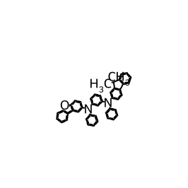 CC1(C)c2ccccc2-c2ccc(N(c3ccccc3)c3cccc(N(c4ccccc4)c4ccc5oc6ccccc6c5c4)c3)cc21